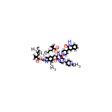 CCCCC1(C(=O)OCN(C(=O)N2CCC(c3cc4ccccc4[nH]c3=O)CC2)[C@H](Cc2cc(C)c3nn(COC(=O)C4(CCCC)CC4)cc3c2)C(=O)N2CCN(C3CCN(C)CC3)CC2)CC1